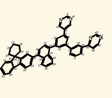 c1cc(-c2cc(-c3cncnc3)cc(-c3ccc(-c4ccc5c(c4)C4(CCCCC4)c4ccccc4-5)c4ccccc34)c2)cc(-c2ccncn2)c1